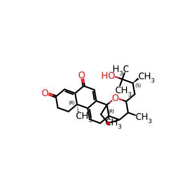 CC1C(C[C@H](C)C(C)(C)O)OC23CCC1[C@@]2(C)CC=C1C3=CC(=O)C2=CC(=O)CC[C@@]21C